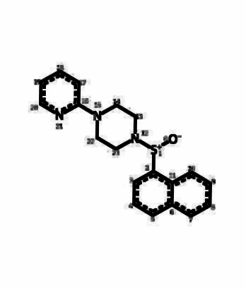 [O-][S+](c1cccc2ccccc12)N1CCN(c2ccccn2)CC1